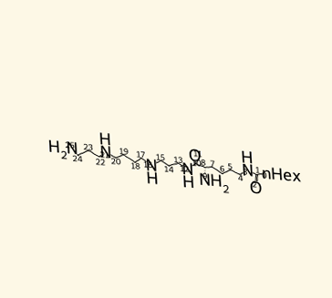 CCCCCCC(=O)NCCCC[C@H](N)C(=O)NCCCNCCCCNCCCN